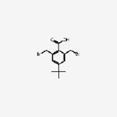 CC(C)(C)c1cc(CBr)c(C(=O)O)c(CBr)c1